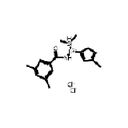 CC1=CC[C]([Ti+2]([NH]C(=O)c2cc(C)cc(C)c2)[SiH](C)C)=C1.[Cl-].[Cl-]